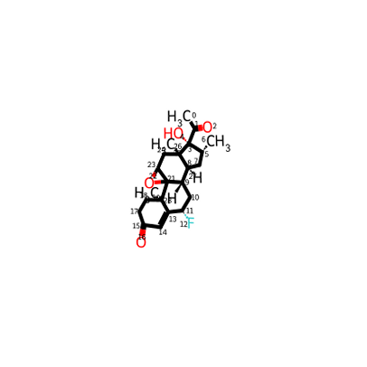 CC(=O)[C@@]1(O)[C@H](C)C[C@H]2[C@@H]3C[C@H](F)C4=CC(=O)CC[C@]4(C)C34OC4C[C@@]21C